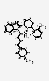 Cc1cccnc1[C@@H]1CCC[C@H](c2nc3ccccc3n2CCCCN2CCN(C)CC2)N1C